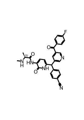 CN[C@@H](C)C(=O)Nc1ccc(C(c2ccc(C#N)cc2)c2cncc(C(=O)c3ccc(F)cc3)c2)[nH]c1=O